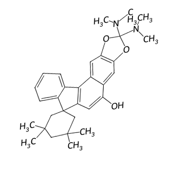 CN(C)C1(N(C)C)Oc2cc3c(O)cc4c(c3cc2O1)-c1ccccc1C41CC(C)(C)CC(C)(C)C1